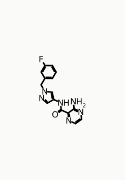 Nc1nccnc1C(=O)Nc1cnn(Cc2cccc(F)c2)c1